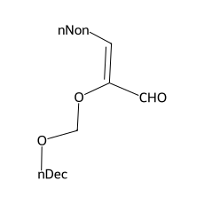 CCCCCCCCCC=C(C=O)OCOCCCCCCCCCC